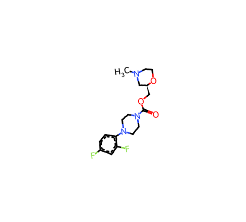 CN1CCO[C@@H](COC(=O)N2CCN(c3ccc(F)cc3F)CC2)C1